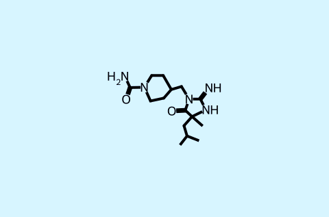 CC(C)CC1(C)NC(=N)N(CC2CCN(C(N)=O)CC2)C1=O